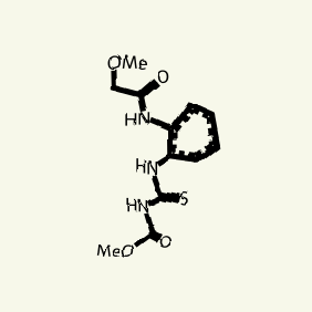 COCC(=O)Nc1ccccc1NC(=S)NC(=O)OC